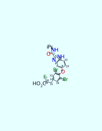 CC(C)NC(=O)c1nc2cc(Oc3c(Br)cc(CC(F)C(=O)O)cc3Br)ccc2[nH]1